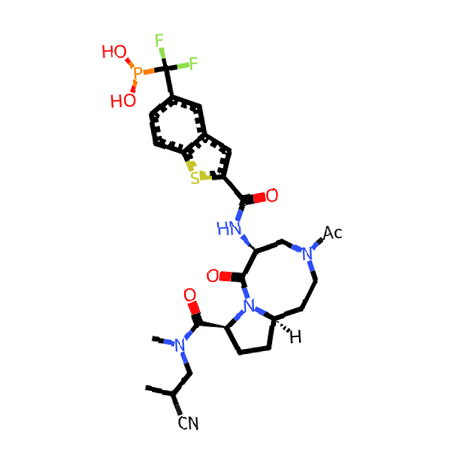 CC(=O)N1CC[C@H]2CC[C@@H](C(=O)N(C)CC(C)C#N)N2C(=O)[C@@H](NC(=O)c2cc3cc(C(F)(F)P(O)O)ccc3s2)C1